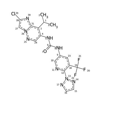 CC(C)c1c(NC(=O)Nc2cnc(-n3nccn3)c(C(F)(F)F)c2)cnn2cc(Cl)nc12